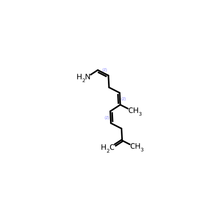 C=C(C)C/C=C\C(C)=C/C/C=C\N